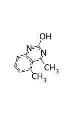 Cc1cccc2nc(O)nc(C)c12